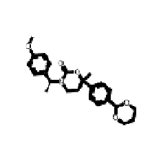 COc1ccc([C@H](C)N2CCC(C)(c3ccc(C4OCCCO4)cc3)OC2=O)cc1